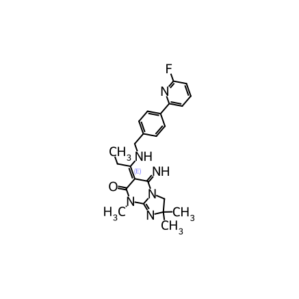 CC/C(NCc1ccc(-c2cccc(F)n2)cc1)=c1\c(=O)n(C)c2n(c1=N)CC(C)(C)N=2